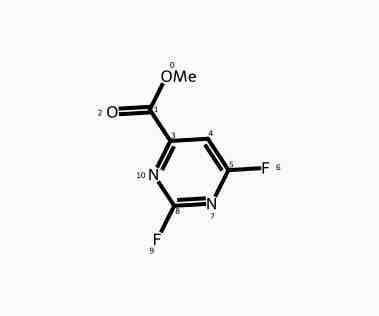 COC(=O)c1cc(F)nc(F)n1